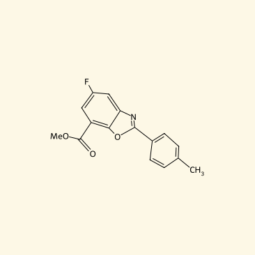 COC(=O)c1cc(F)cc2nc(-c3ccc(C)cc3)oc12